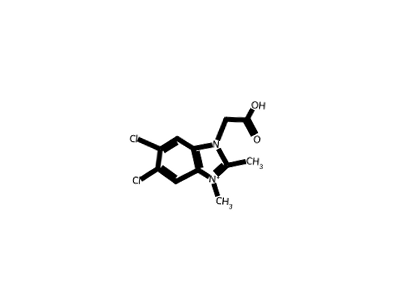 Cc1n(CC(=O)O)c2cc(Cl)c(Cl)cc2[n+]1C